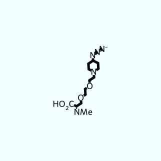 CN[C@@H](COCCOCCN1CCC(N=[N+]=[N-])CC1)C(=O)O